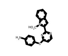 Nc1ccc(Sc2ccnc(-c3cc4ccccc4n3C(=O)O)n2)cc1